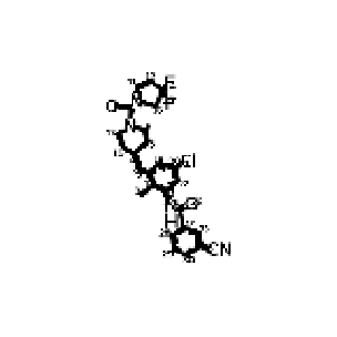 Cc1c(C=C2CCN(C(=O)N3C=CC(F)(F)C3)CC2)cc(Cl)cc1NC(=O)c1cccc(C#N)c1